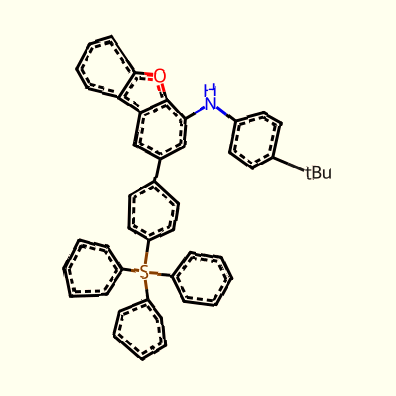 CC(C)(C)c1ccc(Nc2cc(-c3ccc(S(c4ccccc4)(c4ccccc4)c4ccccc4)cc3)cc3c2oc2ccccc23)cc1